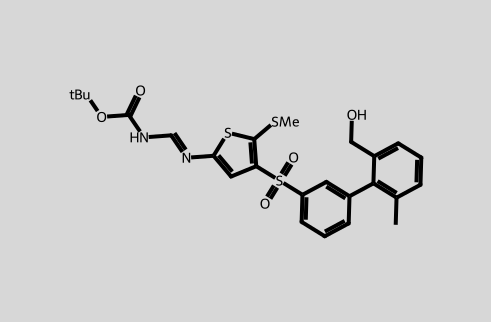 CSc1sc(/N=C/NC(=O)OC(C)(C)C)cc1S(=O)(=O)c1cccc(-c2c(C)cccc2CO)c1